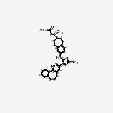 COC(=O)CN(C)C1CCc2ccc(Nc3nc(N)nn3-c3cc4c(nn3)-c3ccccc3CCC4)cc2CC1